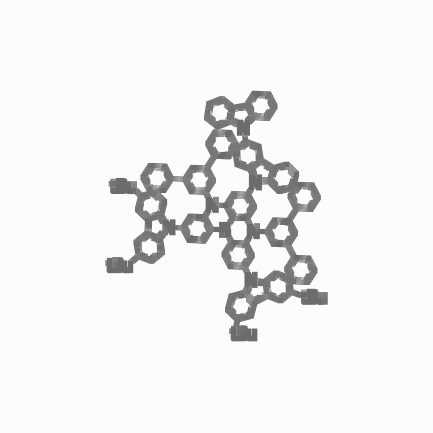 CC(C)(C)c1ccc2c(c1)c1cc(C(C)(C)C)ccc1n2-c1ccc2c(c1)N(c1cc(-c3ccccc3)cc(-c3ccccc3)c1)c1cc(-n3c4ccccc4c4cc(-n5c6ccccc6c6ccccc65)ccc43)cc3c1B2c1ccc(-n2c4ccc(C(C)(C)C)cc4c4cc(C(C)(C)C)ccc42)cc1N3c1cc(-c2ccccc2)cc(-c2ccccc2)c1